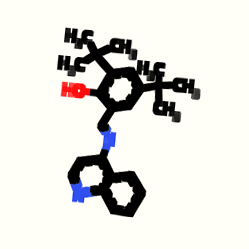 CC(C)(C)c1cc(/C=N/c2ccnc3ccccc23)c(O)c(C(C)(C)C)c1